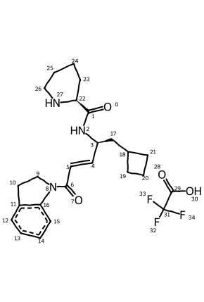 O=C(N[C@H](C=CC(=O)N1CCc2ccccc21)CC1CCC1)[C@@H]1CCCCN1.O=C(O)C(F)(F)F